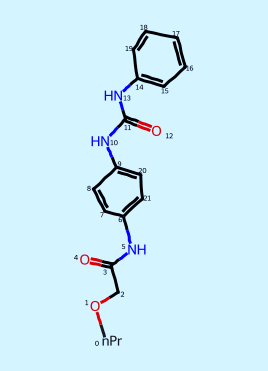 CCCOCC(=O)Nc1ccc(NC(=O)Nc2ccccc2)cc1